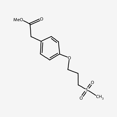 COC(=O)Cc1ccc(OCCCS(C)(=O)=O)cc1